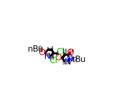 CCCCOc1ccc(COc2cnn(C(C)(C)C)c(=O)c2Cl)c(Cl)n1